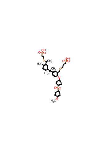 C=C(SCCS(=O)(=O)O)c1cc(C(C)(C)c2ccc(Oc3ccc(S(=O)(=O)c4ccc(OC)cc4)cc3)c(CSCCCS(=O)(=O)O)c2)ccc1C